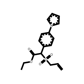 C=CCS(=O)(=O)C(C(=O)OCC)c1ccc(-n2cccc2)cc1